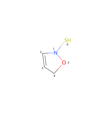 SN1C=CCO1